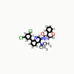 CN(C)c1c(NC(=O)[C@@H]2CCOc3ccccc32)cnc2c(-c3cc(Cl)cc(Cl)c3)cccc12